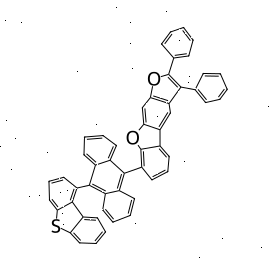 c1ccc(-c2oc3cc4oc5c(-c6c7ccccc7c(-c7cccc8sc9ccccc9c78)c7ccccc67)cccc5c4cc3c2-c2ccccc2)cc1